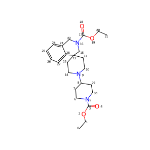 CCOC(=O)N1CCC(N2CCC3(CC2)CN(C(=O)OCC)Cc2ccccc23)CC1